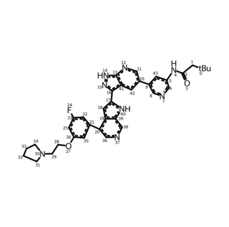 CC(C)(C)CC(=O)Nc1cncc(-c2cnc3[nH]nc(-c4cc5c(-c6cc(F)cc(OCCN7CCCC7)c6)cncc5[nH]4)c3c2)c1